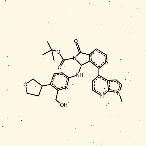 Cn1ccc2c(-c3nccc4c3C(Nc3ccc(C5CCOC5)c(CO)n3)N(C(=O)OC(C)(C)C)C4=O)ccnc21